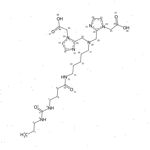 CCCNC(=O)NCCCC(=O)NCCCCCN(Cc1nccn1CC(=O)O)Cc1nccn1CC(=O)O